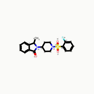 CC1c2ccccc2C(=O)N1C1CCN(S(=O)(=O)c2ccccc2F)CC1